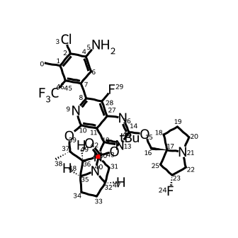 Cc1c(Cl)c(N)cc(-c2nc3c4c(nc(OC[C@@]56CCCN5C[C@H](F)C6)nc4c2F)N2C[C@H]4CC[C@@H]([C@H]2[C@H](C)O3)N4C(=O)OC(C)(C)C)c1C(F)(F)F